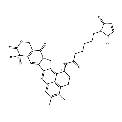 CC[C@@]1(O)C(=O)OCc2c1cc1n(c2=O)Cc2c-1nc1cc(F)c(C)c3c1c2[C@@H](NC(=O)CCCCCN1C(=O)C=CC1=O)CC3